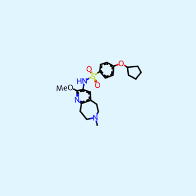 COc1nc2c(cc1NS(=O)(=O)c1ccc(OC3CCCC3)cc1)CCN(C)CC2